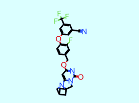 N#Cc1cc(Oc2ccc(COc3cc4n(c(=O)n3)CC35CC(CN43)C5)cc2F)cc(C(F)(F)F)c1